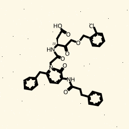 O=C(O)C[C@H](NC(=O)Cn1c(Cc2ccccc2)ccc(NC(=O)CCc2ccccc2)c1=O)C(=O)COCc1ccccc1Cl